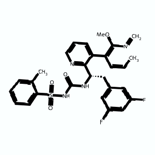 C=N/C(OC)=C(\C=C/C)c1cccnc1[C@H](Cc1cc(F)cc(F)c1)NC(=O)NS(=O)(=O)c1ccccc1C